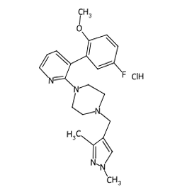 COc1ccc(F)cc1-c1cccnc1N1CCN(Cc2cn(C)nc2C)CC1.Cl